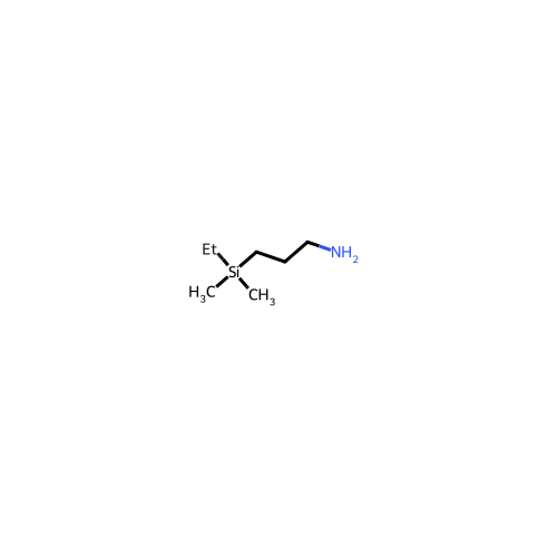 CC[Si](C)(C)CCCN